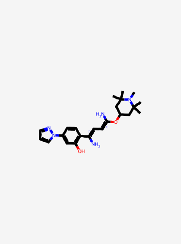 CN1C(C)(C)CC(O/C(N)=C/C=C(\N)c2ccc(-n3cccn3)cc2O)CC1(C)C